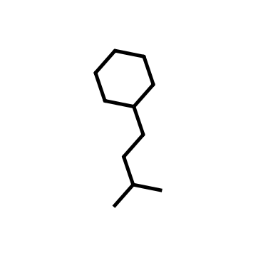 CC(C)CCC1CCCCC1